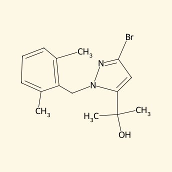 Cc1cccc(C)c1Cn1nc(Br)cc1C(C)(C)O